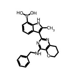 Cc1[nH]c2c(B(O)O)cccc2c1-c1nc2c(c(NCc3ccccc3)n1)OCCC2